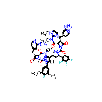 CC[C@@H](NC(=O)N1C(=O)[C@H](Cc2ccnc(N)c2)[C@H]1C(=O)N(C)c1c(CC[C@@H](NC(=O)N2C(=O)[C@H](Cc3ccnc(N)c3)[C@H]2C(=O)N(C)c2nccn2C)c2ccc(F)c(F)c2F)cnn1C)c1cc(C)c(F)c(C)c1